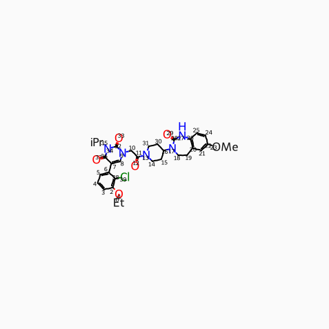 CCOc1cccc(-c2cn(CC(=O)N3CCC(N4CCc5cc(OC)ccc5NC4=O)CC3)c(=O)n(C(C)C)c2=O)c1Cl